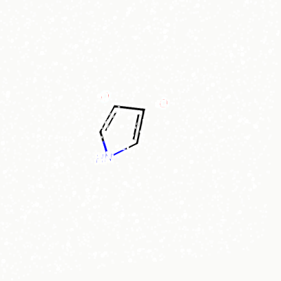 [O].[O].c1cc[nH]c1